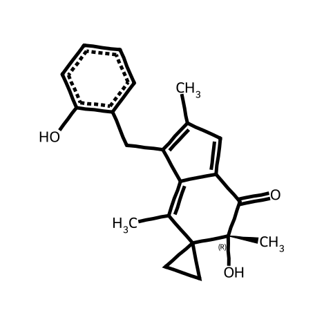 CC1=C(Cc2ccccc2O)C2=C(C)C3(CC3)[C@@](C)(O)C(=O)C2=C1